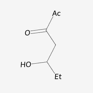 CCC(O)CC(=O)C(C)=O